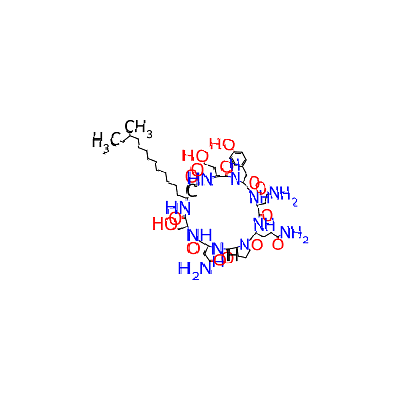 CCC(C)CCCCCCCCCCC1CC(=O)N[C@@H](CC(=O)O)C(=O)N[C@@H](Cc2ccc(O)cc2)C(=O)N[C@@H](CC(N)=O)C(=O)N[C@@H](CCC(N)=O)C(=O)N2CCC[C@H]2C(=O)N[C@@H](CC(N)=O)C(=O)N[C@@H](CO)C(=O)N1